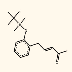 CC(=O)/C=C/Cc1ccccc1O[Si](C)(C)C(C)(C)C